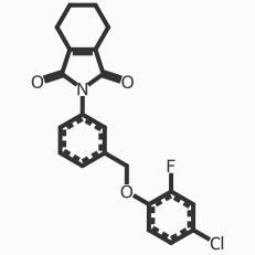 O=C1C2=C(CCCC2)C(=O)N1c1cccc(COc2ccc(Cl)cc2F)c1